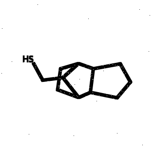 SCC1C2CCC1C1CCCC21